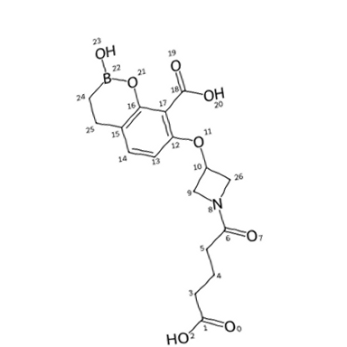 O=C(O)CCCC(=O)N1CC(Oc2ccc3c(c2C(=O)O)OB(O)CC3)C1